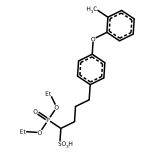 CCOP(=O)(OCC)C(CCCc1ccc(Oc2ccccc2C)cc1)S(=O)(=O)O